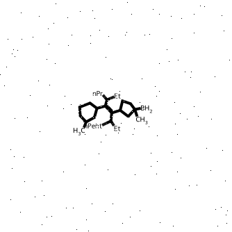 BC1(C)CCC(/C(=C(\C(CC)CCC)C2CCCC(C)C2)C(CC)CCCCC)C1